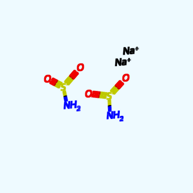 N[S-](=O)=O.N[S-](=O)=O.[Na+].[Na+]